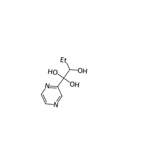 CCC(O)C(O)(O)c1cnccn1